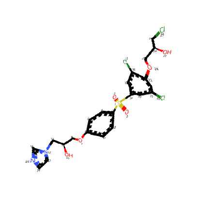 O=S(=O)(c1ccc(OC[C@@H](O)Cn2ccnc2)cc1)c1cc(Cl)c(OC[C@H](O)CCl)c(Cl)c1